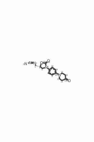 [N-]=[N+]=NC[C@H]1CN(c2ccc(N3CCC(=O)CC3)cc2)C(=O)O1